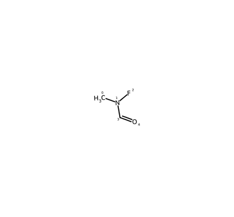 CN(F)C=O